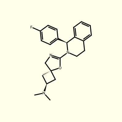 CN(C)[C@H]1C[C@@]2(CN=C(N3CCc4ccccc4[C@@H]3c3ccc(F)cc3)O2)C1